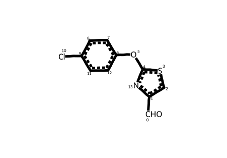 O=Cc1csc(Oc2ccc(Cl)cc2)n1